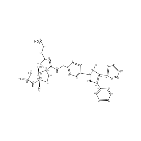 Cn1c(-c2ccc(CNC(=O)[C@@]3(CCCCC(=O)O)SC[C@@H]4NC(=O)N[C@@H]43)cc2)nc(-c2ccccc2)c1-c1ccncc1